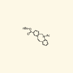 CCCCOC(=O)c1ccc2c(c1)/C=C\c1ccccc1N(C(C)=O)C2